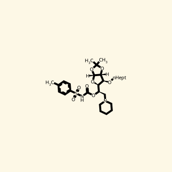 CCCCCCCO[C@@H]1[C@H]2OC(C)(C)O[C@H]2O[C@@H]1[C@@H](CN1CCCCC1)OC(=O)NS(=O)(=O)c1ccc(C)cc1